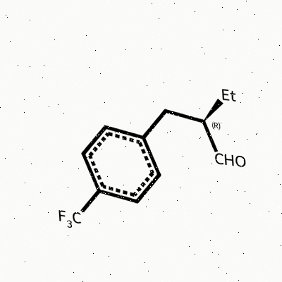 CC[C@@H](C=O)Cc1ccc(C(F)(F)F)cc1